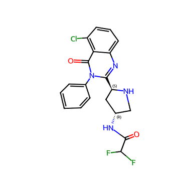 O=C(N[C@H]1CN[C@H](c2nc3cccc(Cl)c3c(=O)n2-c2ccccc2)C1)C(F)F